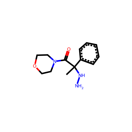 CC(NN)(C(=O)N1CCOCC1)c1ccccc1